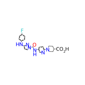 O=C(O)C1CCN(c2ccc(NC(=O)n3ccc(Nc4ccc(F)cc4)n3)cn2)CC1